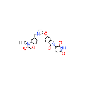 CN1C(=O)COc2ccc(CN3CCC(Oc4ccc5c(c4)CN(C4CCC(=O)NC4=O)C5=O)C3)cc21